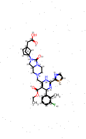 CCOC(=O)C1=C(CN2CCN3C(=O)N(C45CCC(CC(=O)O)(C4)C5)CC3C2)NC(c2nccs2)=NC1c1cccc(F)c1C